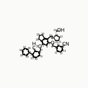 Cc1c(COc2cc(OCc3cccc(C#N)c3)c(CN3CCC[C@H]3CO)c3c2CCC3)cccc1-c1ccccc1